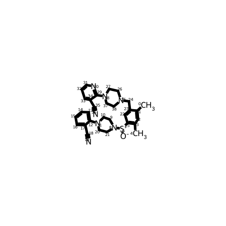 Cc1cc(C)c([S+]([O-])N2CCN(c3ccccc3C#N)CC2)cc1CN1CCN(c2ncccc2C#N)CC1